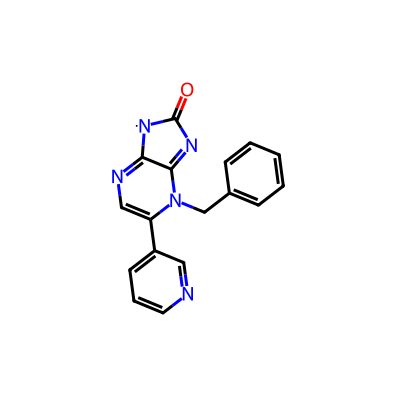 O=C1[N]C2=NC=C(c3cccnc3)N(Cc3ccccc3)C2=N1